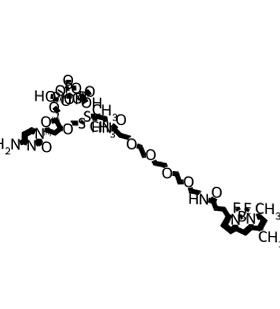 CC1=CC(C)=[N+]2C1=Cc1ccc(CCC(=O)NCCOCCOCCOCCOCCC(=O)NCC(C)(C)SSCOC3C[C@H](n4ccc(N)nc4=O)O[C@@H]3COP(=O)(O)OP(=O)(O)OP(=O)(O)O)n1[B-]2(F)F